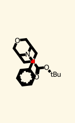 CC(C)(C)OC(=O)N1CC2COCC(C1)N2Cc1ccccc1